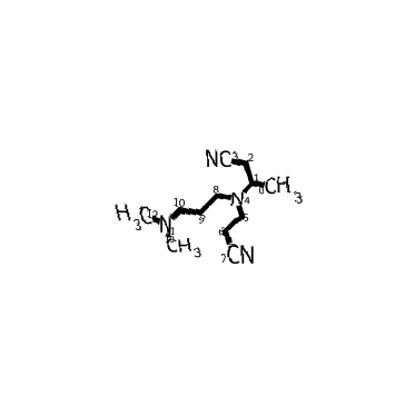 CC(CC#N)N(CCC#N)CCCN(C)C